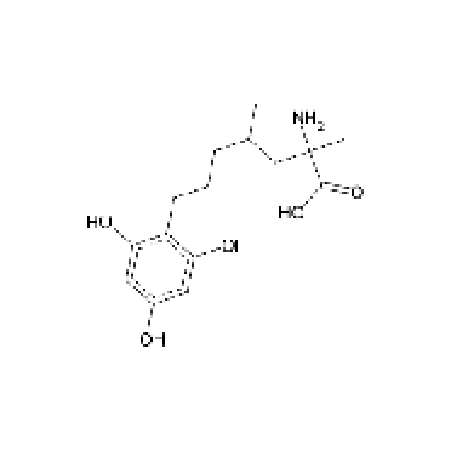 CC(CCCc1c(O)cc(O)cc1O)CC(C)(N)C(=O)O